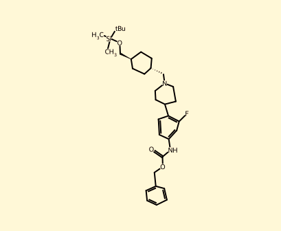 CC(C)(C)[Si](C)(C)OC[C@H]1CC[C@H](CN2CCC(c3ccc(NC(=O)OCc4ccccc4)cc3F)CC2)CC1